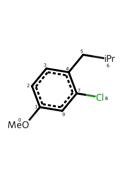 COc1ccc(CC(C)C)c(Cl)c1